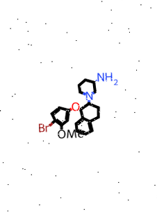 COc1cc(OC2c3ccccc3CCC2N2CCC[C@H](N)C2)ccc1Br